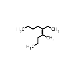 CCCCC(CC)=C(C)CCC